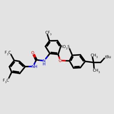 CC(C)(C)CC(C)(C)c1ccc(Oc2ccc(C(F)(F)F)cc2NC(=O)Nc2cc(C(F)(F)F)cc(C(F)(F)F)c2)c(S(=O)(=O)O)c1